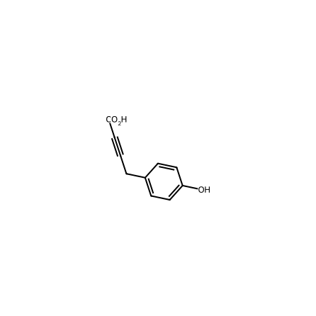 O=C(O)C#CCc1ccc(O)cc1